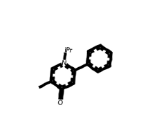 Cc1cn(C(C)C)c(-c2ccccc2)cc1=O